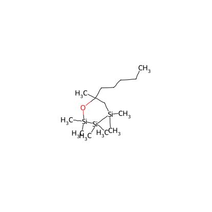 CCCCCC1(C)C[Si](C)(C)[Si](C)(C)[Si](C)(C)O1